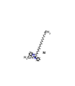 CCCCCCCCCCCCCCCCCCCCCC(=N\c1ccccc1)/C(CCCC)=N/c1ccccc1.[Ni]